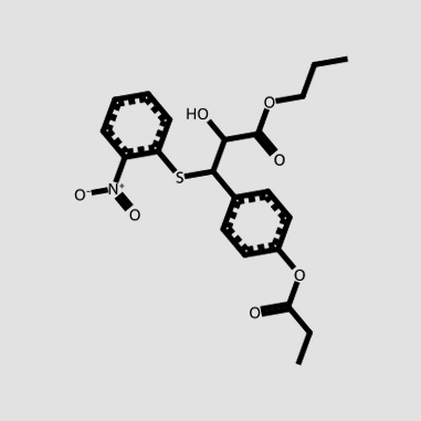 CCCOC(=O)C(O)C(Sc1ccccc1[N+](=O)[O-])c1ccc(OC(=O)CC)cc1